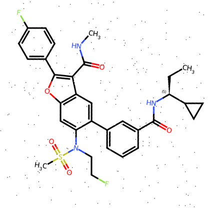 CC[C@H](NC(=O)c1cccc(-c2cc3c(C(=O)NC)c(-c4ccc(F)cc4)oc3cc2N(CCF)S(C)(=O)=O)c1)C1CC1